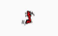 COC(=O)N[C@H](C(=O)N1CCCC1c1nc(C(F)(F)F)c(-c2ccc(-c3ccc(-c4cnc([C@@H]5CCCN5C(=O)[C@@H](NC(=O)OC)C(C)C)[nH]4)cc3)cc2)[nH]1)C(C)C